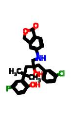 CC(C)(CC(O)(CNc1ccc2c(c1)COC2=O)Cc1cccc(Cl)c1)c1cc(F)ccc1O